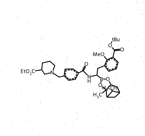 CCOC(=O)C1CCCN(Cc2ccc(C(=O)NC(Cc3cccc(C(=O)OC(C)(C)C)c3OC)B3OC4CC5CC(C5(C)C)C4(C)O3)cc2)C1